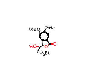 CCOC(=O)C(O)C1OC(=O)c2cc(OC)c(OC)cc21